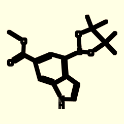 COC(=O)c1cc(B2OC(C)(C)C(C)(C)O2)c2cc[nH]c2c1